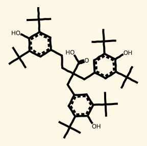 CC(C)(C)c1cc(CCC(Cc2cc(C(C)(C)C)c(O)c(C(C)(C)C)c2)(Cc2cc(C(C)(C)C)c(O)c(C(C)(C)C)c2)C(=O)O)cc(C(C)(C)C)c1O